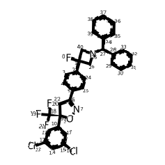 FC1(c2ccc(C3=NO[C@@](c4cc(Cl)cc(Cl)c4)(C(F)(F)F)C3)cc2)CN(C(c2ccccc2)c2ccccc2)C1